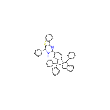 C1=CC2c3c(cc4ccccc4c3-c3ccccc3)C(c3ccccc3)(c3ccccc3)C2C=C1C1N=c2c(sc3ccccc23)=C(c2ccccc2)N1